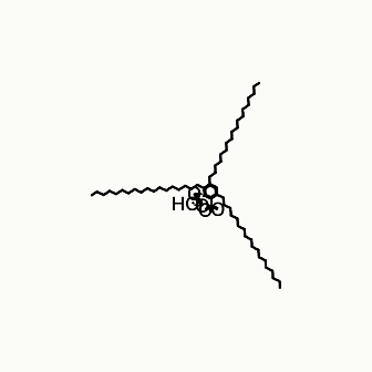 CCCCCCCCCCCCCCCCCCc1cc(CCCCCCCCCCCCCCCCCC)c(I(=O)=O)c(S(=O)(=O)O)c1CCCCCCCCCCCCCCCCCC